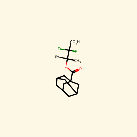 CC(C)C(C)(OC(=O)C12CC3CC(CC(C3)C1)C2)C(F)(F)C(=O)O